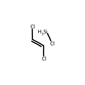 ClC=CCl.[SiH3]Cl